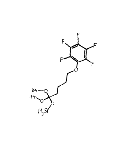 CC(C)OC(CCCCOc1c(F)c(F)c(F)c(F)c1F)(O[SiH3])OC(C)C